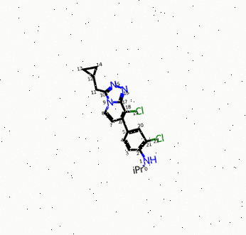 CC(C)Nc1ccc(-c2ccn3c(CC4CC4)nnc3c2Cl)cc1Cl